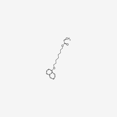 C=CC(=O)OCCCCCCCCOc1cccc2ccccc12